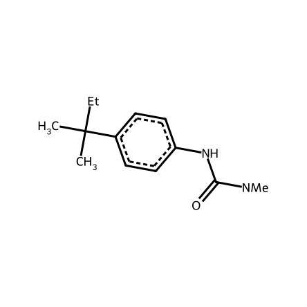 CCC(C)(C)c1ccc(NC(=O)NC)cc1